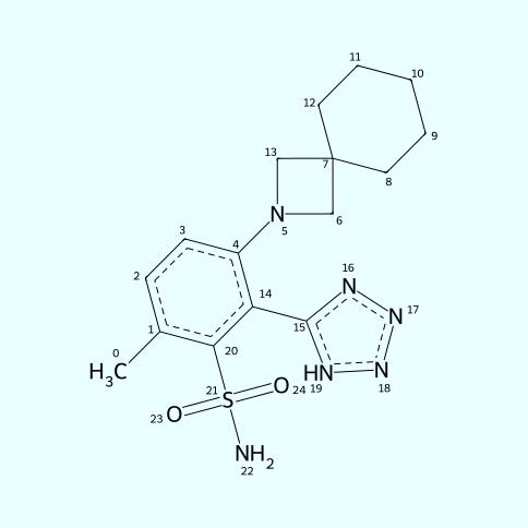 Cc1ccc(N2CC3(CCCCC3)C2)c(-c2nnn[nH]2)c1S(N)(=O)=O